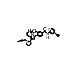 CC#CCN1CCCC1c1cc(-c2ccc(C(=O)Nc3cc(C4CC4)ccn3)cc2Cl)n2cnccc12